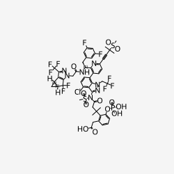 CC(C)(CC(=O)N(c1nn(CC(F)(F)F)c2c(-c3ccc(C#CC(C)(C)S(C)(=O)=O)nc3[C@H](Cc3cc(F)cc(F)c3)NC(=O)Cn3nc(C(F)(F)F)c4c3C(F)(F)[C@@H]3C[C@H]43)ccc(Cl)c12)S(C)(=O)=O)c1c(CC(=O)O)cccc1OP(=O)(O)O